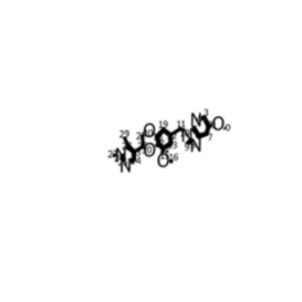 COc1cnc2c(c1)ncn2Cc1cc(OC)c2c(c1)OCC(c1cnn(C)c1C)O2